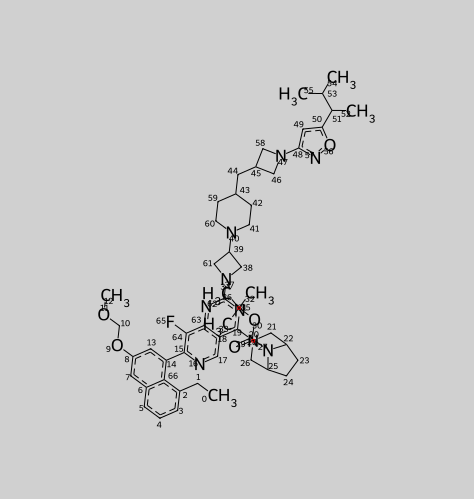 CCc1cccc2cc(OCOC)cc(-c3ncc4c(N5CC6CCC(C5)N6C(=O)OC(C)(C)C)nc(N5CC(N6CCC(CC7CN(c8cc(C(C)C(C)C)on8)C7)CC6)C5)nc4c3F)c12